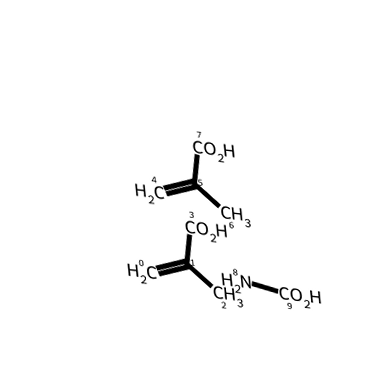 C=C(C)C(=O)O.C=C(C)C(=O)O.NC(=O)O